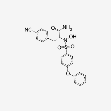 N#Cc1ccc(C[C@H](C(N)=O)N(O)S(=O)(=O)c2ccc(Oc3ccccc3)cc2)cc1